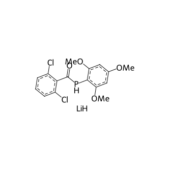 COc1cc(OC)c(PC(=O)c2c(Cl)cccc2Cl)c(OC)c1.[LiH]